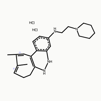 CC1=C/C2=C(CC\C=C\1C)NNc1cc(NCCN3CCCCC3)ccc12.Cl.Cl